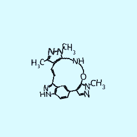 Cc1nn(C)c2c1/C=C/c1n[nH]c3ccc(cc13)-c1cnn(C)c1OCCNC2